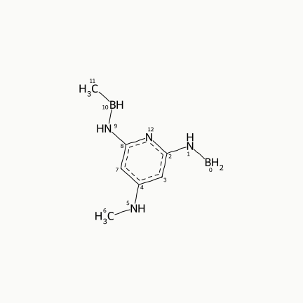 BNc1cc(NC)cc(NBC)n1